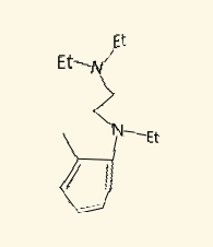 CCN(CC)CCN(CC)c1ccccc1C